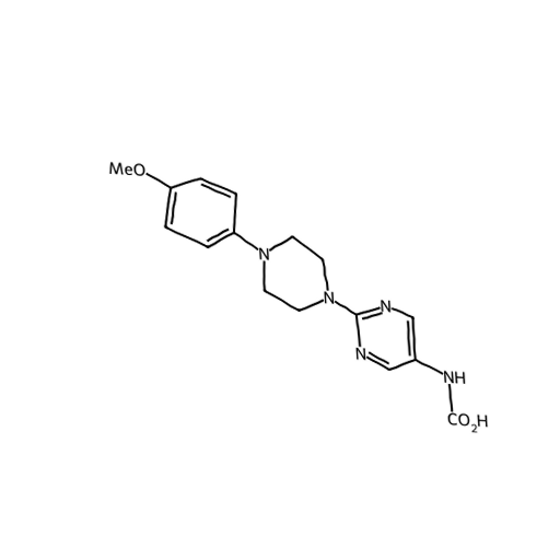 COc1ccc(N2CCN(c3ncc(NC(=O)O)cn3)CC2)cc1